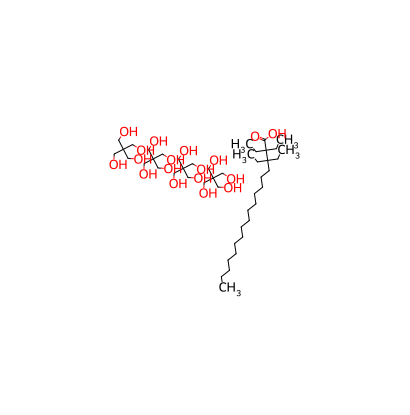 CCCCCCCCCCCCCCCC(CC)(CC)C(CC)(CC)C(=O)O.OCC(CO)(CO)CO.OCC(CO)(CO)CO.OCC(CO)(CO)CO.OCC(CO)(CO)CO